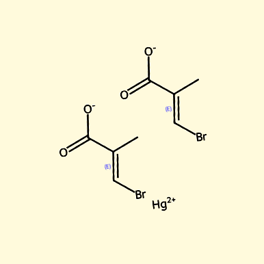 C/C(=C\Br)C(=O)[O-].C/C(=C\Br)C(=O)[O-].[Hg+2]